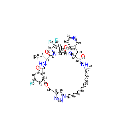 CC(C)C[C@H]1NC(=O)c2ccc(F)cc2OCc2cn(nn2)CCCCCCC[C@@H](C)NC(=O)[C@H](Cc2cccnc2)N(C)C(=O)[C@H]2CC(F)(F)CN2C1=O